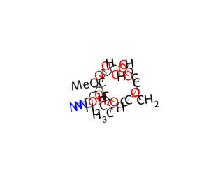 C=C1CC2CC[C@@]34C[C@H]5OC6C(O3)[C@H]3OC(CCC3O[C@H]6C5O4)CC(=O)CC3[C@@H](OC)C(CC(O)CN=[N+]=[N-])O[C@H]3CC3O[C@@H](CCC1O2)C[C@@H](C)C3=C